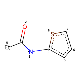 CCC(=O)[N]c1cccs1